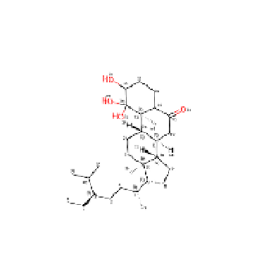 CC[C@H](CC[C@@H](C)[C@H]1CC[C@H]2[C@@H]3CC(=O)C4CCC(O)C(O)(O)[C@]4(C)[C@H]3CC[C@]12C)C(C)C